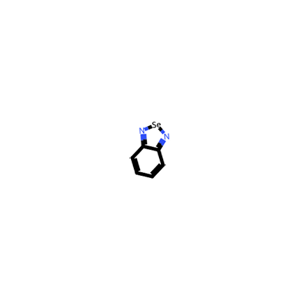 [c]1cc[c]c2n[se]nc12